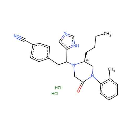 CCCC[C@H]1CN(c2ccccc2C)C(=O)CN1C(Cc1ccc(C#N)cc1)c1cnc[nH]1.Cl.Cl